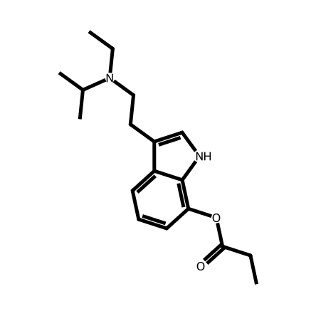 CCC(=O)Oc1cccc2c(CCN(CC)C(C)C)c[nH]c12